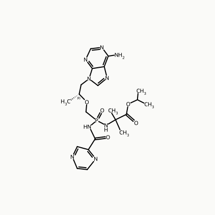 CC(C)OC(=O)C(C)(C)NP(=O)(CO[C@H](C)Cn1cnc2c(N)ncnc21)NC(=O)c1cnccn1